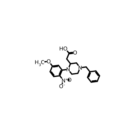 COc1ccc([N+](=O)[O-])c(N2CCN(Cc3ccccc3)CC2CC(=O)O)c1